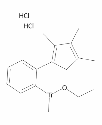 CC[O][Ti]([CH3])[c]1ccccc1C1=C(C)C(C)=C(C)C1.Cl.Cl